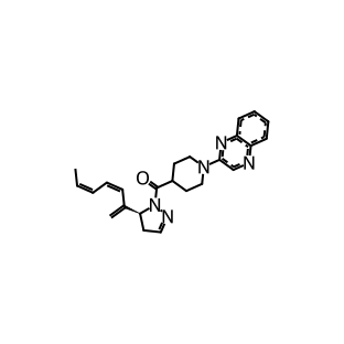 C=C(/C=C\C=C/C)[C@@H]1CC=NN1C(=O)C1CCN(c2cnc3ccccc3n2)CC1